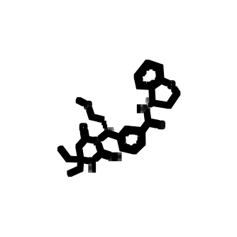 CCC1(CC)CC(=O)N([C@H](CCOC)c2cccc(C(=O)N[C@H]3CCOc4ccccc43)c2)C(=N)N1